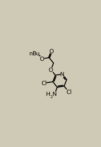 CCCCOC(=O)COc1ncc(Cl)c(N)c1Cl